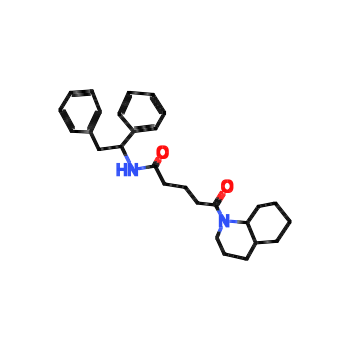 O=C(CCCC(=O)N1CCCC2CCCCC21)NC(Cc1ccccc1)c1ccccc1